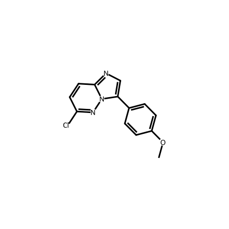 COc1ccc(-c2cnc3ccc(Cl)nn23)cc1